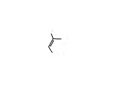 CC(=CC(=O)O)C(F)(F)F.Cl